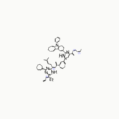 C=C/C=C(\CC)[C@@H]1CNC(/C(=C/C(=C)C2=CC([C@@H]3C=C(C(=C)/C=C\C=C/C)N=C(C4=Cc5c(n(-c6ccccc6)c6c5=CCCCC=6)CC4)N3)=CCC=C2)CC=C(C)C)=NC([C@H]2C=CCCCC2)=N1